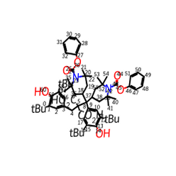 CC(C)(C)c1cc(CC(C(=O)O)(C(=O)O)C(c2cc(C(C)(C)C)c(O)c(C(C)(C)C)c2)(C2CC(C)(C)N(C(=O)Oc3ccccc3)C(C)(C)C2)C2CC(C)(C)N(C(=O)Oc3ccccc3)C(C)(C)C2)cc(C(C)(C)C)c1O